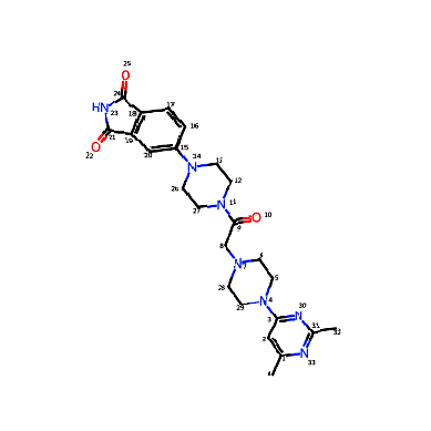 Cc1cc(N2CCN(CC(=O)N3CCN(c4ccc5c(c4)C(=O)NC5=O)CC3)CC2)nc(C)n1